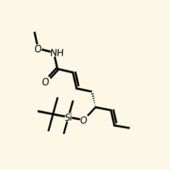 C/C=C/[C@@H](C/C=C/C(=O)NOC)O[Si](C)(C)C(C)(C)C